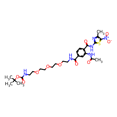 CC(=O)Nc1cc(C(=O)NCCOCCOCCOCCNC(=O)OC(C)(C)C)ccc1C(=O)Nc1nc(C)c([N+](=O)[O-])s1